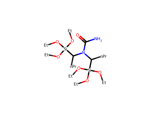 CCCC(N(C(N)=O)C(CCC)[Si](OCC)(OCC)OCC)[Si](OCC)(OCC)OCC